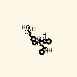 O=C(/C=C/c1ccc2c(c1)CCC2N(CCc1c[nH]c2ccccc12)C(=O)c1cc2ccccc2[nH]1)NO